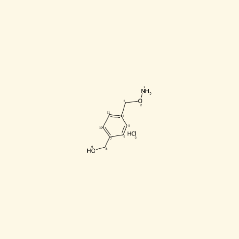 Cl.NOCc1ccc(CO)cc1